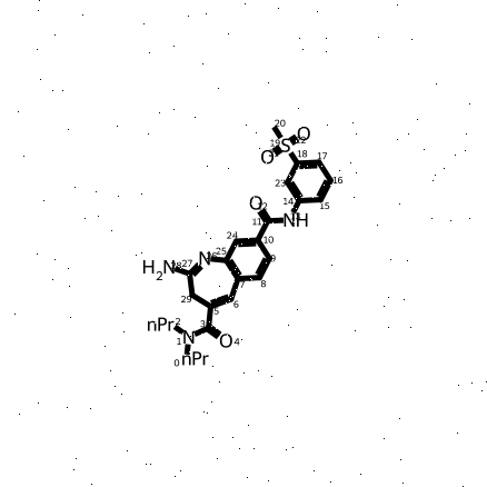 CCCN(CCC)C(=O)C1=Cc2ccc(C(=O)Nc3cccc(S(C)(=O)=O)c3)cc2N=C(N)C1